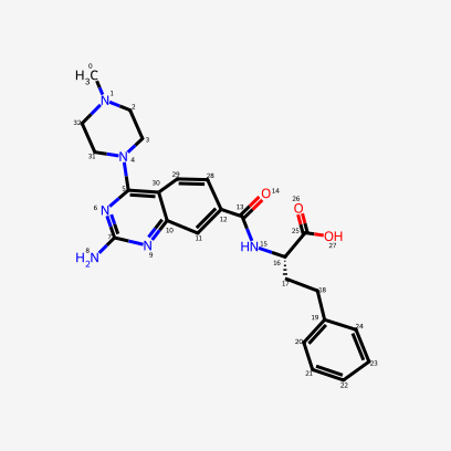 CN1CCN(c2nc(N)nc3cc(C(=O)N[C@@H](CCc4ccccc4)C(=O)O)ccc23)CC1